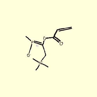 C=CC(=O)O/C(C[N+](C)(C)C)=[P+](\C)[O-]